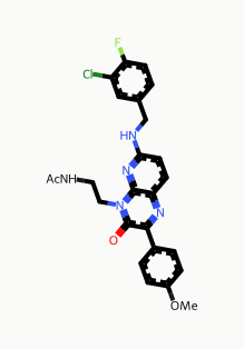 COc1ccc(-c2nc3ccc(NCc4ccc(F)c(Cl)c4)nc3n(CCNC(C)=O)c2=O)cc1